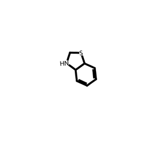 C1=CC2NCSC2C=C1